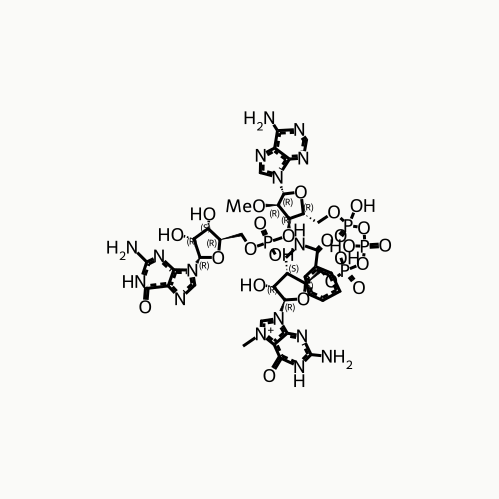 CO[C@@H]1[C@H](OP(=O)(O)OC[C@H]2O[C@@H](n3cnc4c(=O)[nH]c(N)nc43)[C@H](O)[C@@H]2O)[C@@H](COP(=O)(O)OP(=O)(O)OP(=O)(O)OC[C@H]2O[C@@H](n3c[n+](C)c4c(=O)[nH]c(N)nc43)[C@H](O)[C@@H]2CNC(=O)c2ccccc2)O[C@H]1n1cnc2c(N)ncnc21